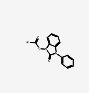 CC(C)C(=O)On1c(=S)n(-c2ccccc2)c2ccccc21